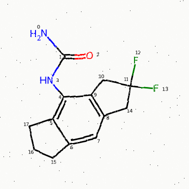 NC(=O)Nc1c2c(cc3c1CC(F)(F)C3)CCC2